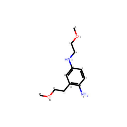 COCCNc1ccc(N)c(CCOC)c1